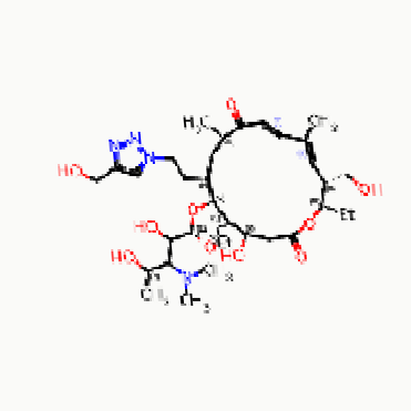 CCO[C@@H](O[C@H]1[C@@H](CCn2cc(CO)nn2)C[C@@H](C)C(=O)/C=C/C(C)=C/[C@H](CO)[C@@H](CC)OC(=O)C[C@@H](O)[C@@H]1C)C(O)C([C@@H](C)O)N(C)C